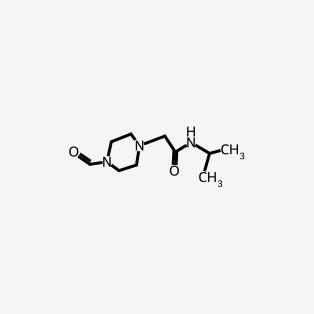 CC(C)NC(=O)CN1CCN(C=O)CC1